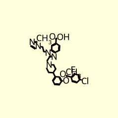 Cc1nccn1CCn1c(CN2CCC(c3cccc4c3OC(C)(c3ccc(Cl)cc3F)O4)CC2)nc2ccc(C(=O)O)cc21